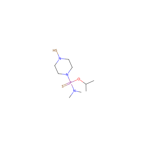 CC(C)OP(=S)(N(C)C)N1CCN(S)CC1